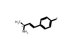 C[C@H](N)C=Cc1ccc(F)cc1